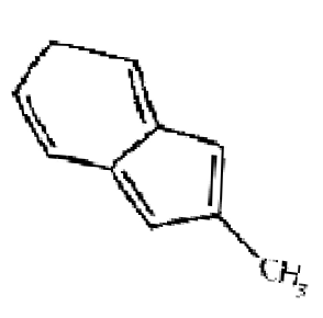 CC1=CC2=CCC=CC2=C1